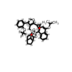 CC(C)Oc1ccc(S(=O)(=O)NC2C3CCC2CC(OCc2c(-c4ccccc4OC(F)(F)F)noc2C2CC2)C3)c2ccccc12